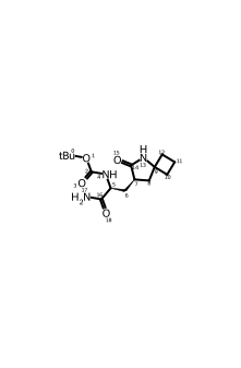 CC(C)(C)OC(=O)N[C@@H](C[C@@H]1CC2(CCC2)NC1=O)C(N)=O